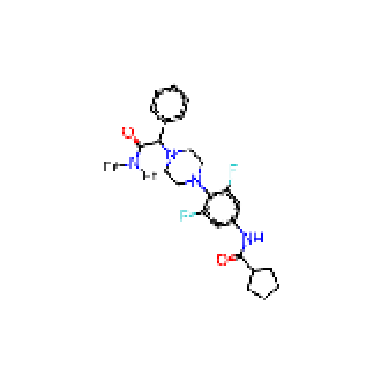 CCN(CC)C(=O)C(c1ccccc1)N1CCN(c2c(F)cc(NC(=O)C3CCCC3)cc2F)CC1